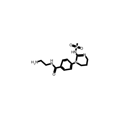 CS(=O)(=O)NC1=NCCCN1c1ccc(C(=O)NCCN)cc1